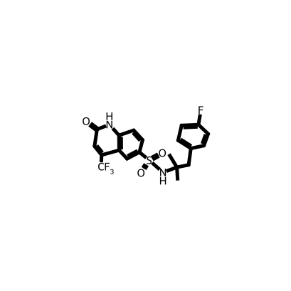 CC(C)(Cc1ccc(F)cc1)NS(=O)(=O)c1ccc2[nH]c(=O)cc(C(F)(F)F)c2c1